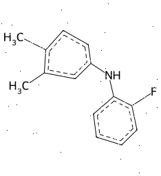 Cc1ccc(Nc2ccccc2F)cc1C